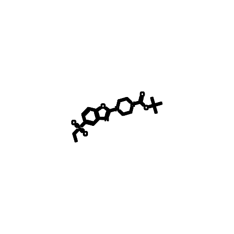 CCS(=O)(=O)c1ccc2oc(N3CCN(C(=O)OC(C)(C)C)CC3)nc2c1